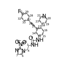 O=C(NCCn1ccnc1[N+](=O)[O-])Nc1ccc(-c2ccncc2)c(C#Cc2ccc(F)cc2)c1